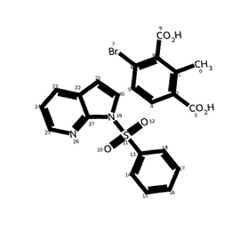 Cc1c(C(=O)O)ccc(Br)c1C(=O)O.O=S(=O)(c1ccccc1)n1ccc2cccnc21